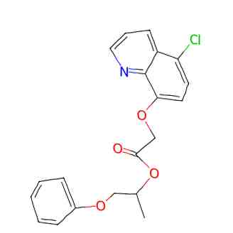 CC(COc1ccccc1)OC(=O)COc1ccc(Cl)c2cccnc12